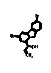 C=CC(O)c1cc(Br)cc2c1Cc1ccc(Br)cc1-2